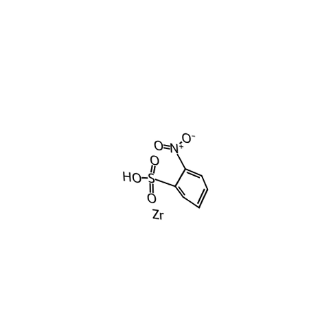 O=[N+]([O-])c1ccccc1S(=O)(=O)O.[Zr]